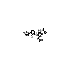 C=C(Nc1cc(Nc2cccc(-c3ncn(C)n3)c2OC)c(C(=O)NC)nn1)C1CC1